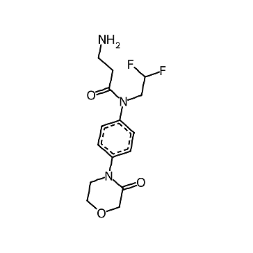 NCCC(=O)N(CC(F)F)c1ccc(N2CCOCC2=O)cc1